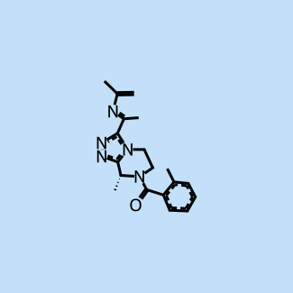 C=C(C)/N=C(\C)c1nnc2n1CCN(C(=O)c1ccccc1C)[C@@H]2C